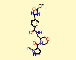 CC(C)n1nccc1C(=O)N1CCOC[C@@H]1CNC(=O)c1ccc(-c2noc(C(F)(F)F)n2)cc1